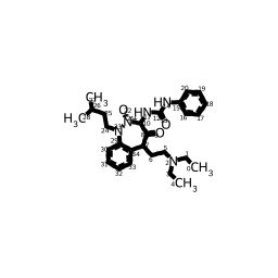 CCN(CC)CCC1C(=O)C(NC(=O)Nc2ccccc2)[N+](=O)N(CCC(C)C)c2ccccc21